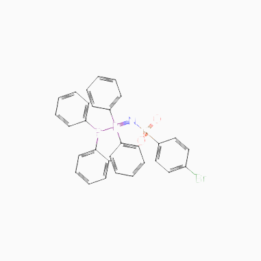 O=S(=O)(N=P(c1ccccc1)(c1ccccc1)P(c1ccccc1)c1ccccc1)c1ccc(Br)cc1